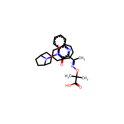 C/C(=N\OC(C)(C)C(=O)O)c1nc2ccccc2n(C2CC3CCC(C2)N3C2CC3CCCCC(C3)C2)c1=O